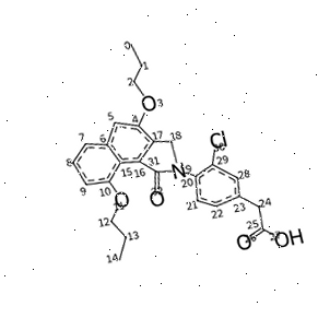 CCCOc1cc2cccc(OCCC)c2c2c1CN(c1ccc(CC(=O)O)cc1Cl)C2=O